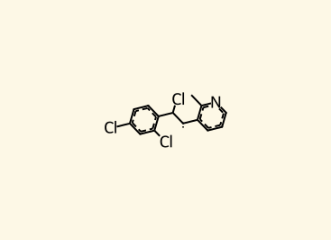 Cc1ncccc1[CH]C(Cl)c1ccc(Cl)cc1Cl